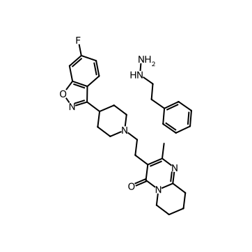 Cc1nc2n(c(=O)c1CCN1CCC(c3noc4cc(F)ccc34)CC1)CCCC2.NNCCc1ccccc1